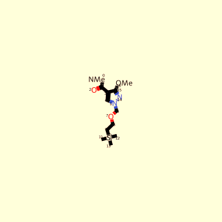 CNC(=O)c1cn(COCC[Si](C)(C)C)nc1OC